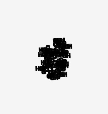 O=S(=O)(O)OC[C@H]1O[C@@H](OC[C@H](OS(=O)(=O)O)[C@@H](O[C@@H]2O[C@H](COS(=O)(=O)O)[C@@H](OS(=O)(=O)O)[C@H](OS(=O)(=O)O)[C@H]2OS(=O)(=O)O)[C@H](OS(=O)(=O)O)[C@@H](COS(=O)(=O)O)OS(=O)(=O)O)[C@H](OS(=O)(=O)O)[C@@H](OS(=O)(=O)O)[C@@H]1OS(=O)(=O)O